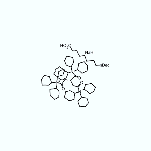 CCCCCCCCCCCCCCCCCC(=O)O.O=C(CC(CC(=O)[N+](C1CCCCC1)(C1CCCCC1)C1CCCCC1)C(=O)[N+](C1CCCCC1)(C1CCCCC1)C1CCCCC1)[N+](C1CCCCC1)(C1CCCCC1)C1CCCCC1.[NaH]